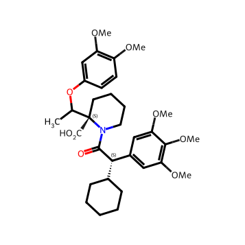 COc1ccc(OC(C)[C@]2(C(=O)O)CCCCN2C(=O)[C@H](c2cc(OC)c(OC)c(OC)c2)C2CCCCC2)cc1OC